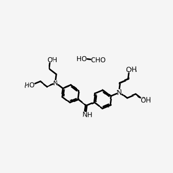 N=C(c1ccc(N(CCO)CCO)cc1)c1ccc(N(CCO)CCO)cc1.O=CO